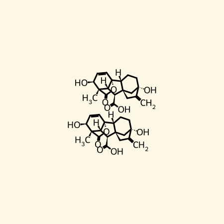 C=C1C[C@]23C[C@@]1(O)CC[C@H]2[C@@]12C=C[C@H](O)[C@@](C)(C(=O)O1)[C@H]2[C@@H]3C(=O)O.C=C1C[C@]23C[C@@]1(O)CC[C@H]2[C@@]12C=C[C@H](O)[C@@](C)(C(=O)O1)[C@H]2[C@@H]3C(=O)O